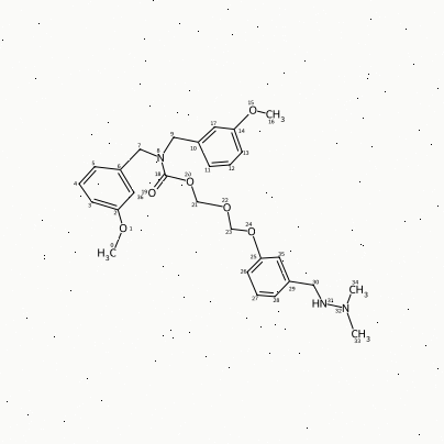 COc1cccc(CN(Cc2cccc(OC)c2)C(=O)OCOCOc2cccc(CNN(C)C)c2)c1